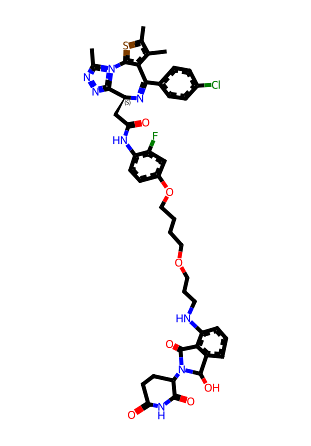 Cc1sc2c(c1C)C(c1ccc(Cl)cc1)=N[C@@H](CC(=O)Nc1ccc(OCCCCOCCCNc3cccc4c3C(=O)N(C3CCC(=O)NC3=O)C4O)cc1F)c1nnc(C)n1-2